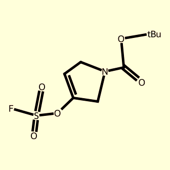 CC(C)(C)OC(=O)N1CC=C(OS(=O)(=O)F)C1